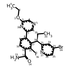 CCOc1cncc(-c2ccc(C(N)=O)c(F)c2[C@@H](CC)c2cc(Br)ccn2)n1